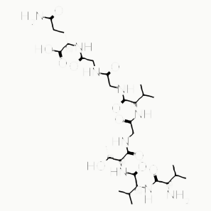 CC(C)[C@H](N)C(=O)N[C@H](C(=O)N[C@H](C(=O)NCC(=O)N[C@H](C(=O)NCC(=O)NCC(=O)N[C@@H](CCC(N)=O)C(=O)O)C(C)C)[C@@H](C)O)C(C)C